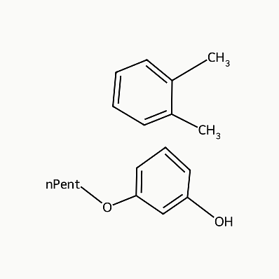 CCCCCOc1cccc(O)c1.Cc1ccccc1C